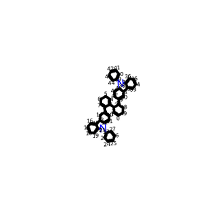 C1=CC(C2=CCCC=C2C2=CC=C3C(C2)c2ccccc2N3c2ccccc2)C(C2=CC3c4ccccc4N(c4ccccc4)C3CC2)CC1